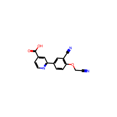 N#CCOc1ccc(-c2cc(C(=O)O)ccn2)cc1C#N